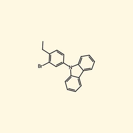 CCc1ccc(-n2c3ccccc3c3ccccc32)cc1Br